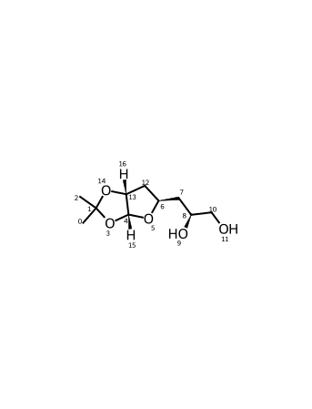 CC1(C)O[C@H]2O[C@H](C[C@H](O)CO)C[C@H]2O1